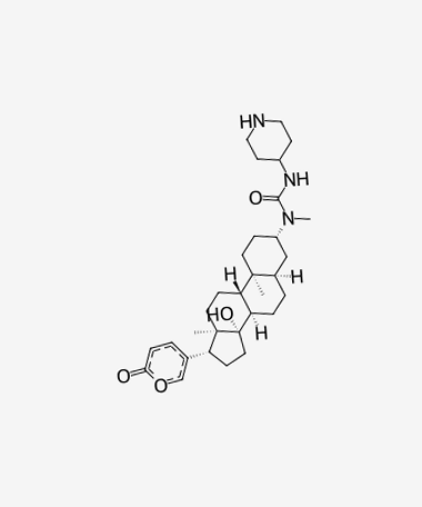 CN(C(=O)NC1CCNCC1)[C@H]1CC[C@@]2(C)[C@H](CC[C@@H]3[C@@H]2CC[C@]2(C)[C@@H](c4ccc(=O)oc4)CC[C@]32O)C1